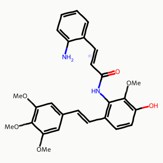 COc1cc(C=Cc2ccc(O)c(OC)c2NC(=O)/C=C/c2ccccc2N)cc(OC)c1OC